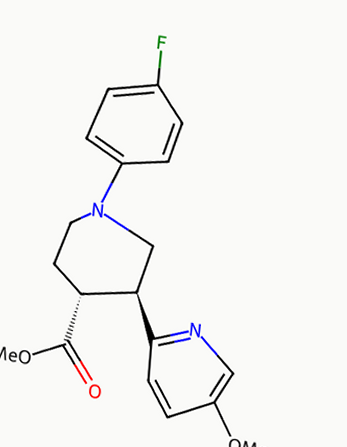 COC(=O)[C@@H]1CCN(c2ccc(F)cc2)C[C@H]1c1ccc(OC)cn1